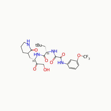 CC(C)(C)C[C@H](NC(=O)C(=O)Nc1cccc(OC(F)(F)F)c1)C(=O)N[C@@H](CC1CCCNC1=O)C(=O)CO